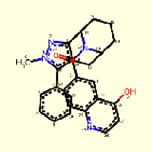 Cn1nc2c(c1-c1ccccc1)CC1CCCC2N1C(=O)c1ccc2nccc(O)c2c1